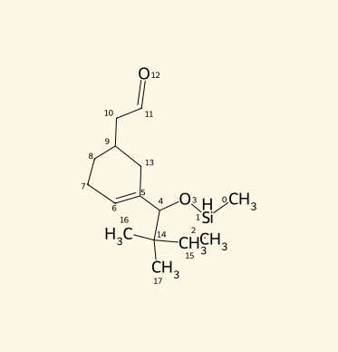 C[SiH](C)OC(C1=CCCC(CC=O)C1)C(C)(C)C